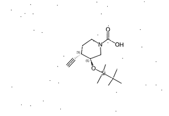 C#C[C@@H]1CCN(C(=O)O)C[C@H]1O[Si](C)(C)C(C)(C)C